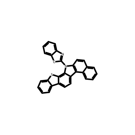 c1ccc2c(c1)ccc1c2c2ccc3c4ccccc4sc3c2n1-c1nc2ccccc2o1